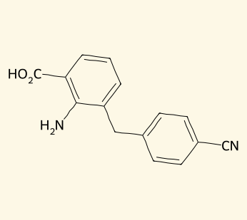 N#Cc1ccc(Cc2cccc(C(=O)O)c2N)cc1